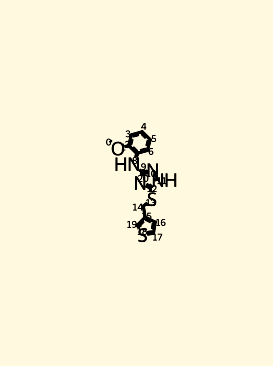 COc1ccccc1Nc1n[nH]c(SCc2ccsc2)n1